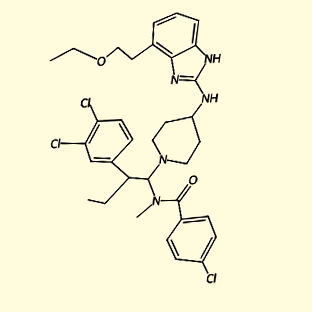 CCOCCc1cccc2[nH]c(NC3CCN(C(C(CC)c4ccc(Cl)c(Cl)c4)N(C)C(=O)c4ccc(Cl)cc4)CC3)nc12